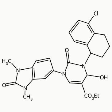 CCOC(=O)C1=CN(c2ccc3c(c2)n(C)c(=O)n3C)C(=O)N(C2CCCc3c(Cl)cccc32)C1O